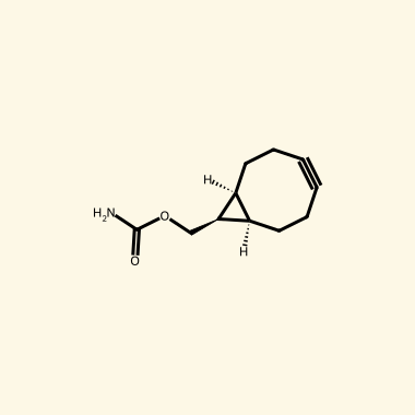 NC(=O)OC[C@@H]1[C@@H]2CCC#CCC[C@@H]21